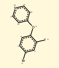 Fc1cc(Br)ccc1Oc1ccncc1